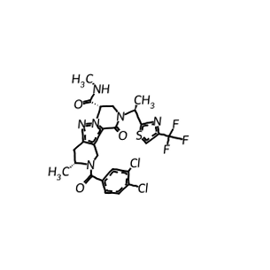 CNC(=O)[C@@H]1CN([C@@H](C)c2nc(C(F)(F)F)cs2)C(=O)c2c3c(nn21)C[C@@H](C)N(C(=O)c1ccc(Cl)c(Cl)c1)C3